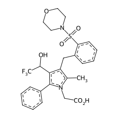 Cc1c(Cc2ccccc2S(=O)(=O)N2CCOCC2)c(C(O)C(F)(F)F)c(-c2ccccc2)n1CC(=O)O